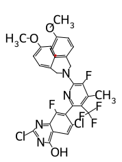 COc1ccc(CN(Cc2ccc(OC)cc2)c2nc(-c3c(Cl)cc4c(O)nc(Cl)nc4c3F)c(C(F)(F)F)c(C)c2F)cc1